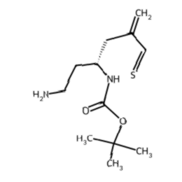 C=C(C=S)C[C@@H](CCN)NC(=O)OC(C)(C)C